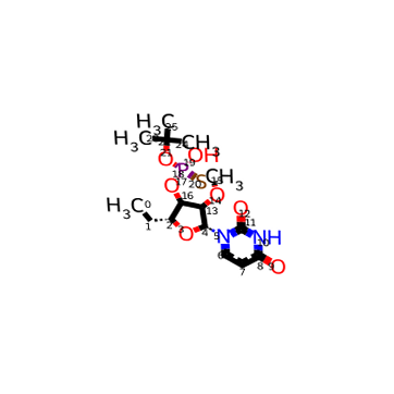 CC[C@H]1O[C@@H](n2ccc(=O)[nH]c2=O)C(OC)C1OP(O)(=S)OC(C)(C)C